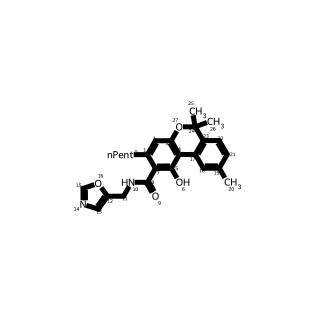 CCCCCc1cc2c(c(O)c1C(=O)NCc1cnco1)-c1cc(C)ccc1C(C)(C)O2